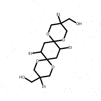 CCC1CC2(OCC(CC)(CO)CO2)C(CC)CC12OCC(CC)(CO)CO2